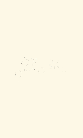 CC(C)(C)ONC(=C=O)C(=O)NCc1cccc(Nc2n[nH]c3ncnc(Nc4cccc(Cl)c4)c23)c1